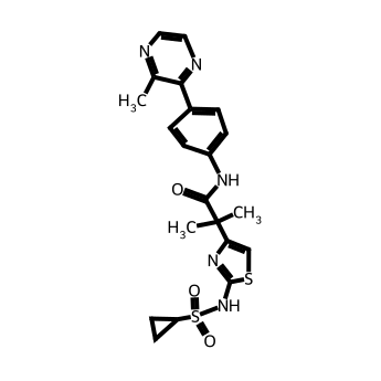 Cc1nccnc1-c1ccc(NC(=O)C(C)(C)c2csc(NS(=O)(=O)C3CC3)n2)cc1